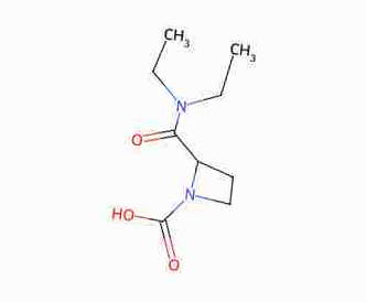 CCN(CC)C(=O)C1CCN1C(=O)O